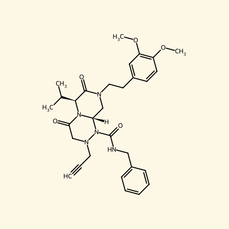 C#CCN1CC(=O)N2[C@@H](C(C)C)C(=O)N(CCc3ccc(OC)c(OC)c3)C[C@@H]2N1C(=O)NCc1ccccc1